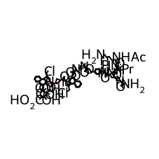 CC(=O)N[C@@H](CCCCN)C(=O)NC(C(=O)NC(CCCNC(N)=O)C(=O)Nc1ccc(COC(=O)N(C)CCN(C)C(=O)Oc2cc3c(c4ccccc24)C(CCl)CN3C(=O)C23CC(C(=O)N4CC(CCl)c5c4cc(OC4OC(C(=O)O)C(O)C(O)C4O)c4ccccc54)(C2)C3)cc1)C(C)C